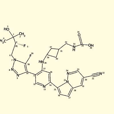 CC(C)(O)[C@H](F)Cn1nnc(-c2cnc(-c3ccc4cc(C#N)cnn34)cc2NC2CC(CNC(=O)O)C2)c1F